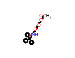 CC(=O)COCCOCCOCCNC(=O)CC(c1ccccc1)(c1ccccc1)C1C=CC=CC1